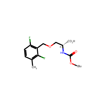 Cc1ccc(F)c(COC[C@@H](NC(=O)OC(C)(C)C)C(=O)O)c1F